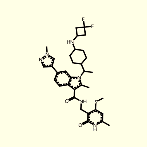 CSc1cc(C)[nH]c(=O)c1CNC(=O)c1c(C)n(C(C)C2CCC(NC3CC(F)(F)C3)CC2)c2cc(-c3cnn(C)c3)ccc12